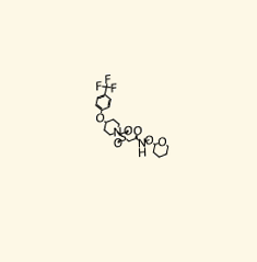 O=C(CS(=O)(=O)N1CCC(Oc2ccc(C(F)(F)F)cc2)CC1)NOC1CCCCO1